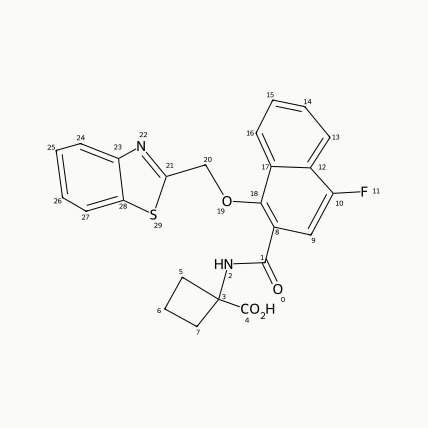 O=C(NC1(C(=O)O)CCC1)c1cc(F)c2ccccc2c1OCc1nc2ccccc2s1